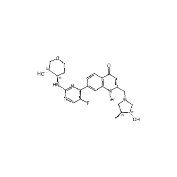 CC(C)n1c(CN2C[C@H](O)[C@@H](F)C2)cc(=O)c2ccc(-c3nc(N[C@@H]4CCOC[C@H]4O)ncc3F)cc21